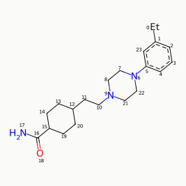 CCc1cccc(N2CCN(CCC3CCC(C(N)=O)CC3)CC2)c1